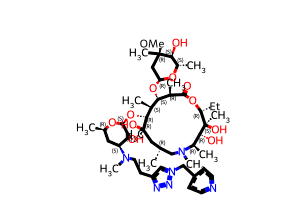 CC[C@H]1OC(=O)[C@H](C)[C@@H](O[C@H]2C[C@@](C)(OC)[C@@H](O)[C@H](C)O2)[C@H](C)[C@@H](O[C@@H]2O[C@H](C)C[C@H](N(C)CCc3cn(Cc4ccncc4)nn3)[C@H]2O)[C@](C)(O)C[C@@H](C)CN(C)[C@H](C)[C@@H](O)[C@]1(C)O